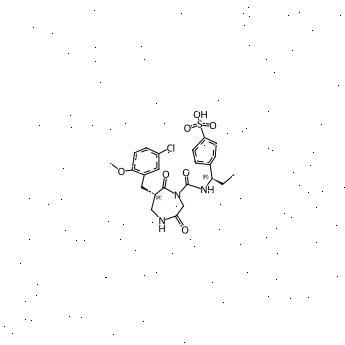 CC[C@@H](NC(=O)N1CC(=O)NC[C@@H](Cc2cc(Cl)ccc2OC)C1=O)c1ccc(S(=O)(=O)O)cc1